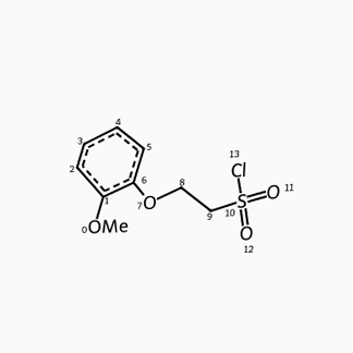 COc1ccccc1OCCS(=O)(=O)Cl